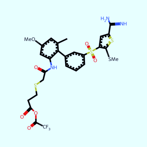 COc1cc(C)c(-c2cccc(S(=O)(=O)c3cc(C(=N)N)sc3SC)c2)c(NC(=O)CSCCC(=O)OC(=O)C(F)(F)F)c1